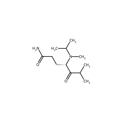 CC(C)C(=O)[C@H](CCC(N)=O)N(C)C(C)C